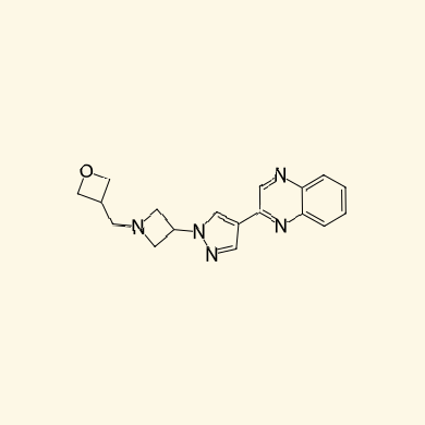 c1ccc2nc(-c3cnn(C4CN(CC5COC5)C4)c3)cnc2c1